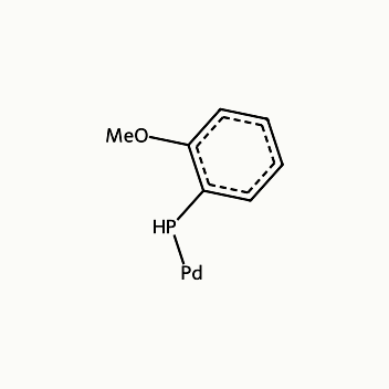 COc1ccccc1[PH][Pd]